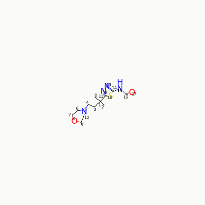 CC(C)(CCN1CCOCC1)c1nnc(NC=O)s1